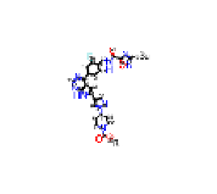 CC(C)(C)OC(=O)N1CCC(n2cc(-c3cc4c(-c5ccc(CNC(=O)c6nc(C(C)(C)C)no6)c(F)c5)ncnc4[nH]3)cn2)CC1